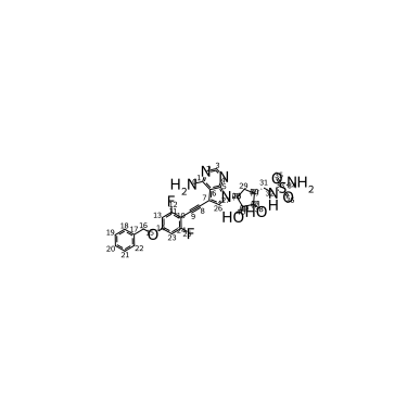 Nc1ncnc2c1c(C#Cc1c(F)cc(OCc3ccccc3)cc1F)cn2[C@@H]1C[C@H](CNS(N)(=O)=O)[C@@H](O)[C@H]1O